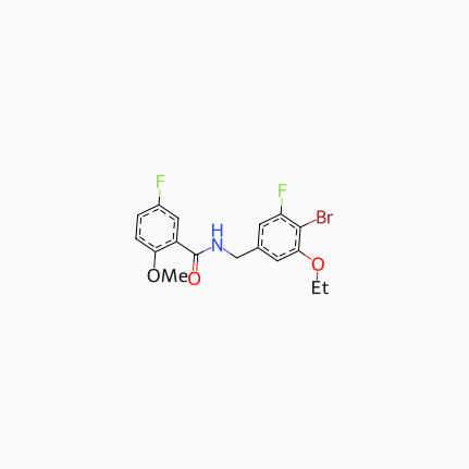 CCOc1cc(CNC(=O)c2cc(F)ccc2OC)cc(F)c1Br